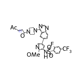 COc1ncc(-c2ccc3ncnc(N4CCN(C(=O)/C=C/C(C)=O)CC4)c3c2)cc1NS(=O)(=O)c1ccc(C(F)(F)F)cc1F